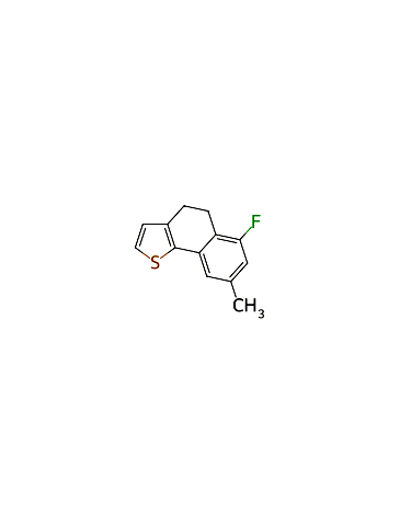 Cc1cc(F)c2c(c1)-c1sccc1CC2